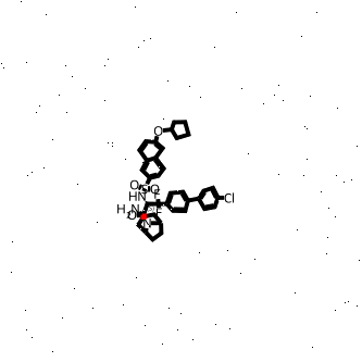 NC1CC2CCC(C1)N2C(=O)[C@H](NS(=O)(=O)c1ccc2cc(OC3CCCC3)ccc2c1)C(F)(F)c1ccc(-c2ccc(Cl)cc2)cc1